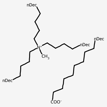 CCCCCCCCCCCCCCCCCCC(=O)[O-].CCCCCCCCCCCCCC[N+](C)(CCCCCCCCCCCCCC)CCCCCCCCCCCCCC